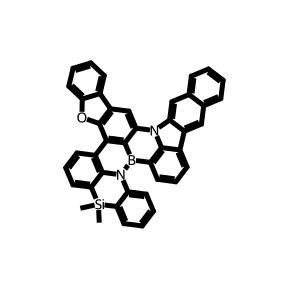 C[Si]1(C)c2ccccc2N2B3c4c(cc5c(oc6ccccc65)c4-c4cccc1c42)-n1c2cc4ccccc4cc2c2cccc3c21